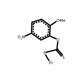 CCSC(=S)Oc1cc([N+](=O)[O-])ccc1OC